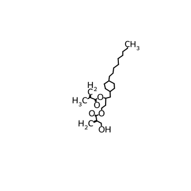 C=C(C)C(=O)OC(CCOC(=O)C(=C)CO)CC1CCC(CCCCCCCCC)CC1